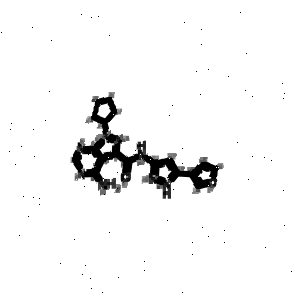 Nc1ncnc2c1c(C(=O)Nc1cc(-c3ccoc3)[nH]n1)nn2C1CCCC1